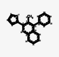 Cc1c(-c2cccs2)nc2ccccc2c1-c1ccccc1